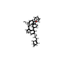 COc1ccc(CN2C3CC2CN(c2ccc(-c4cc(OCCC5=CC6CC6C5)cn5ncc(C#N)c45)cn2)C3)cn1